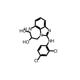 Nc1cccc2nc(Nc3ccc(Cl)cc3Cl)n(CC(O)CO)c12